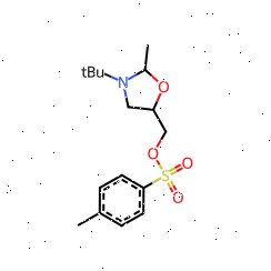 Cc1ccc(S(=O)(=O)OCC2CN(C(C)(C)C)C(C)O2)cc1